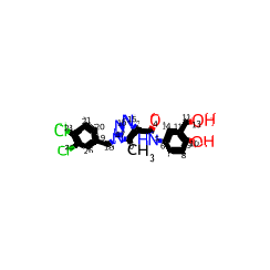 Cc1c(C(=O)Nc2ccc(O)c(CO)c2)nnn1Cc1ccc(Cl)c(Cl)c1